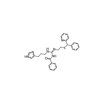 O=C(NC(=NCCSC(c1ccccc1)c1ccccn1)NCCCc1c[nH]cn1)c1ccccc1